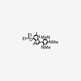 CCC(CC)Oc1cc(C)nc2c(-c3c(NC)cc(NC)cc3NC)cn(C)c12